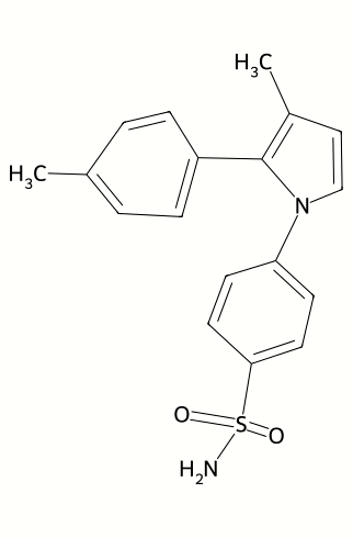 Cc1ccc(-c2c(C)ccn2-c2ccc(S(N)(=O)=O)cc2)cc1